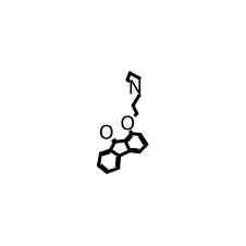 O=C1c2ccccc2-c2cccc(OCCCN3CCC3)c21